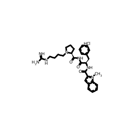 Cl.Cn1c(C(=O)N[C@H](Cc2ccccc2)C(=O)NC(=O)[C@@H]2CCCN2CCCCNC(=N)N)cc2ccccc21